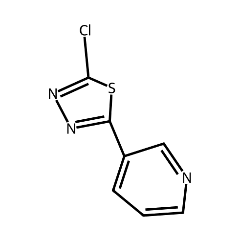 Clc1nnc(-c2cccnc2)s1